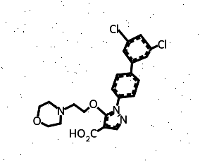 O=C(O)c1cnn(-c2ccc(-c3cc(Cl)cc(Cl)c3)cc2)c1OCCN1CCOCC1